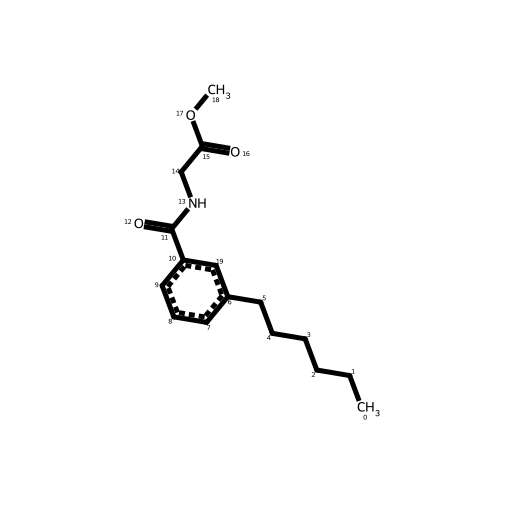 CCCCCCc1cccc(C(=O)NCC(=O)OC)c1